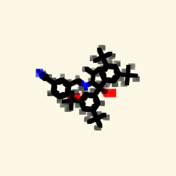 CC(C)C(N=Cc1cc(C#N)ccc1O)C(O)(c1cc(C(C)(C)C)cc(C(C)(C)C)c1)c1cc(C(C)(C)C)cc(C(C)(C)C)c1